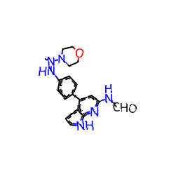 CN(Nc1ccc(-c2cc(NC=O)nc3[nH]ccc23)cc1)N1CCOCC1